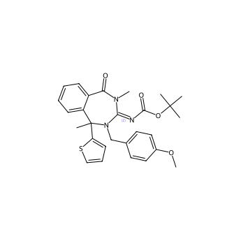 COc1ccc(CN2/C(=N/C(=O)OC(C)(C)C)N(C)C(=O)c3ccccc3C2(C)c2cccs2)cc1